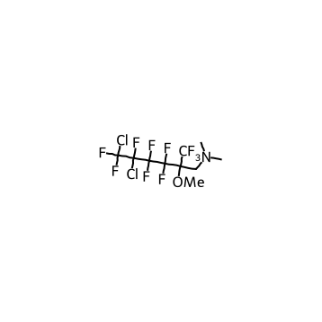 COC(CN(C)C)(C(F)(F)F)C(F)(F)C(F)(F)C(F)(Cl)C(F)(F)Cl